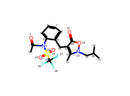 CC(=O)N(c1ccccc1Cc1c(C)n(CC(C)C)oc1=O)S(=O)(=O)C(F)(F)F